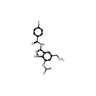 CCc1cc(OC(F)F)c2[nH]nc(NC(=O)c3ccc(F)cc3)c2c1